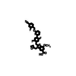 COc1cc(C(=O)O)cc2c1nc(Cc1cc(F)c(-c3cccc(OCc4ccc(C#N)cc4F)n3)cc1F)n2CC1CCO1